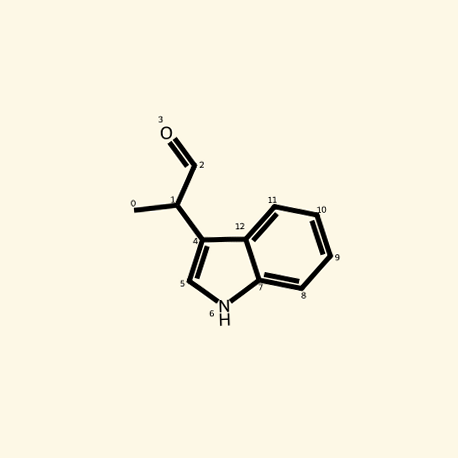 CC([C]=O)c1c[nH]c2ccccc12